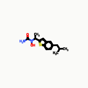 CC(C)Cc1ccc2sc(C(C)N(O)C(N)=O)cc2c1